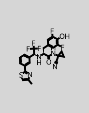 Cc1csc(-c2cccc([C@H](N[C@@H](Cc3cc(F)c(O)c(F)c3)C(=O)NC3(C#N)CC3)C(F)(F)F)c2)n1